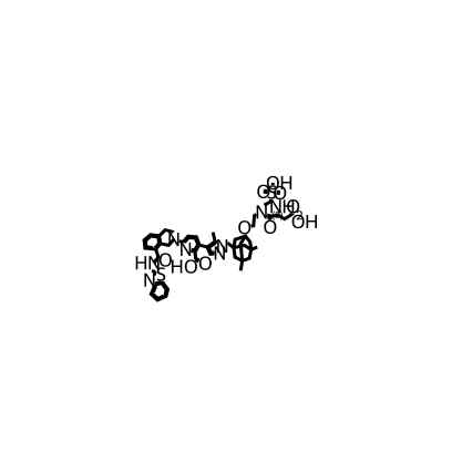 Cc1c(-c2ccc(N3CCc4cccc(C(=O)Nc5nc6ccccc6s5)c4C3)nc2C(=O)O)cnn1CC12CC3(C)CC(C)(C1)CC(OCCN(CCS(=O)(=O)O)C(=O)[C@@H](N)CC(=O)O)(C3)C2